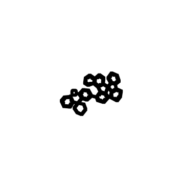 c1ccc2c(c1)Oc1ccc(-c3cccc4c3-c3c(ccc5ccccc35)C43c4ccccc4-c4ccccc43)cc1C21CCCCC1